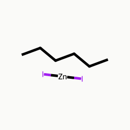 CCCCCC.[I][Zn][I]